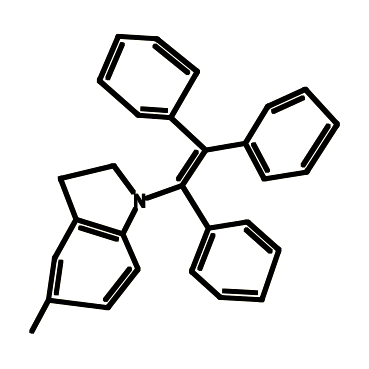 Cc1ccc2c(c1)CCN2C(=C(c1ccccc1)c1ccccc1)c1ccccc1